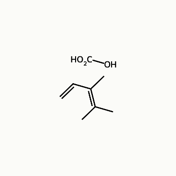 C=CC(C)=C(C)C.O=C(O)O